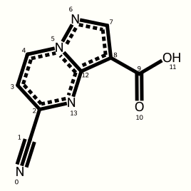 N#Cc1ccn2ncc(C(=O)O)c2n1